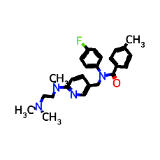 Cc1ccc(C(=O)N(Cc2ccc(N(C)CCN(C)C)nc2)c2ccc(F)cc2)cc1